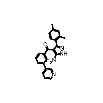 Cc1ccc(-c2n[nH]c(N)c2C(=O)c2cccc(-c3cccnc3)c2)c(C)c1